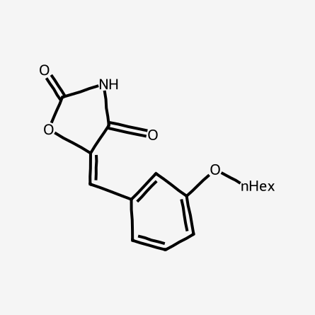 CCCCCCOc1cccc(C=C2OC(=O)NC2=O)c1